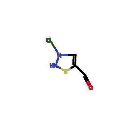 O=CC1=CN(Cl)NS1